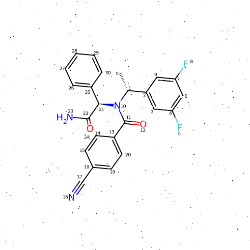 C[C@H](c1cc(F)cc(F)c1)N(C(=O)c1ccc(C#N)cc1)[C@@H](C(N)=O)c1ccccc1